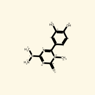 CN(N)c1nc(-c2ccc(O)c(O)c2)n(C)c(=O)n1